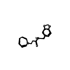 O=C(CCN1C=CC=CC=C1)NCc1ccc2c(c1)OCO2